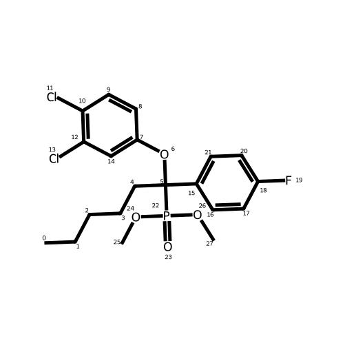 CCCCCC(Oc1ccc(Cl)c(Cl)c1)(c1ccc(F)cc1)P(=O)(OC)OC